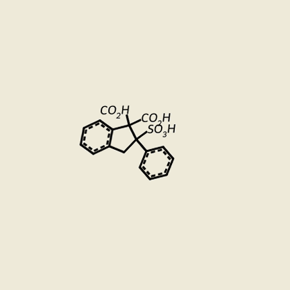 O=C(O)C1(C(=O)O)c2ccccc2CC1(c1ccccc1)S(=O)(=O)O